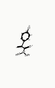 C=C(C(=O)N(CCC)CCC)c1ccc(Cl)cc1